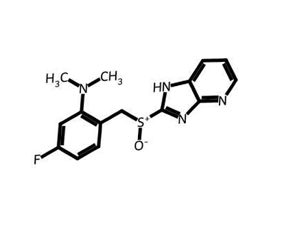 CN(C)c1cc(F)ccc1C[S+]([O-])c1nc2ncccc2[nH]1